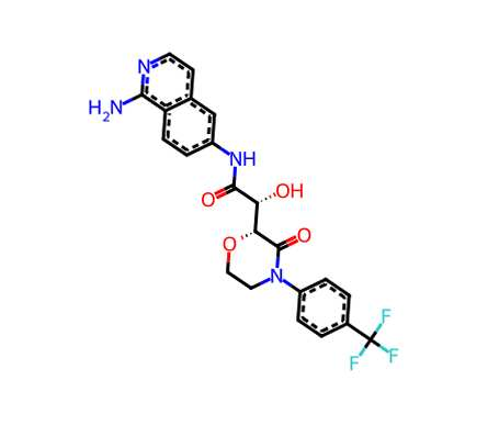 Nc1nccc2cc(NC(=O)[C@H](O)[C@H]3OCCN(c4ccc(C(F)(F)F)cc4)C3=O)ccc12